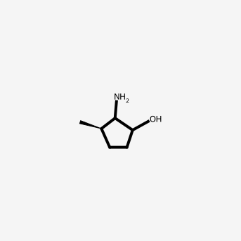 C[C@@H]1CCC(O)C1N